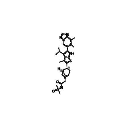 Cc1c(-c2[nH]c3sc([C@@H]4CC5C[C@H]4CN5CC(=O)N=S(C)(C)=O)c(C)c3c2C(C)C)cn2ncnc2c1C